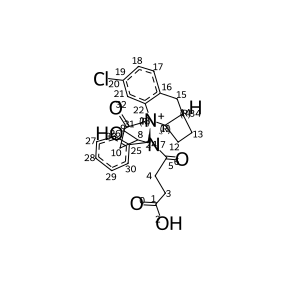 O=C(O)CCC(=O)N(C1CC1)[C@@]12CC[C@@H]1Cc1ccc(Cl)cc1[N@@+]2(Cc1ccccc1)C(=O)O